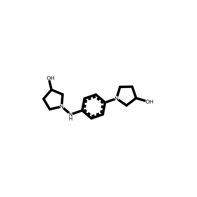 OC1CCN(Nc2ccc(N3CCC(O)C3)cc2)C1